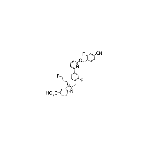 N#Cc1ccc(COc2cccc(-c3ccc(Cc4nc5ccc(C(=O)O)cc5n4CCCF)c(F)c3)n2)c(F)c1